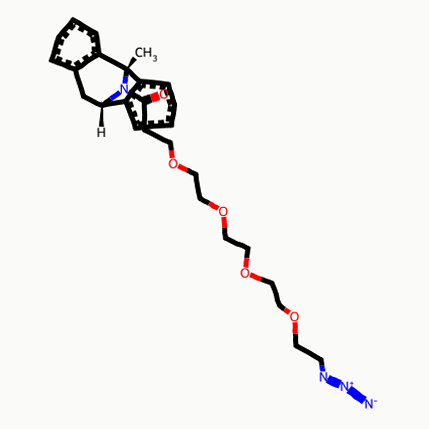 C[C@@]12c3ccccc3C[C@@H](c3ccccc31)N2C(=O)CCOCCOCCOCCOCCN=[N+]=[N-]